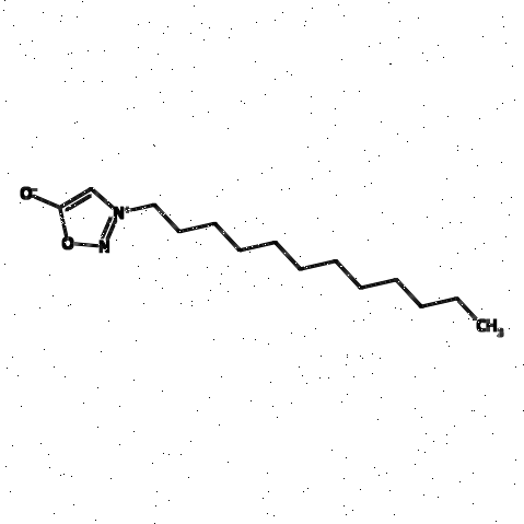 CCCCCCCCCCCC[n+]1cc([O-])on1